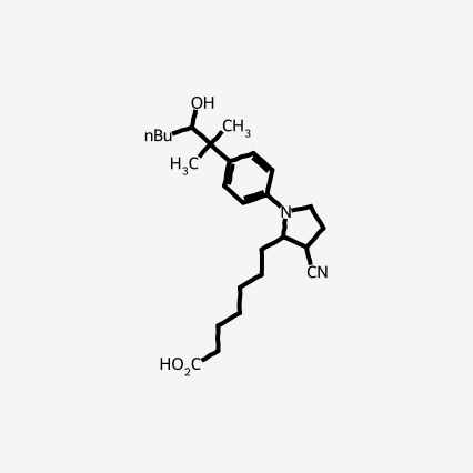 CCCCC(O)C(C)(C)c1ccc(N2CCC(C#N)C2CCCCCCC(=O)O)cc1